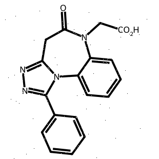 O=C(O)CN1C(=O)Cc2nnc(-c3ccccc3)n2-c2ccccc21